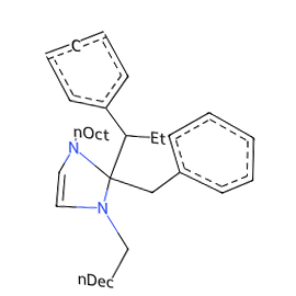 CCCCCCCCCCCN1C=CN(CCCCCCCC)C1(Cc1ccccc1)C(CC)c1ccccc1